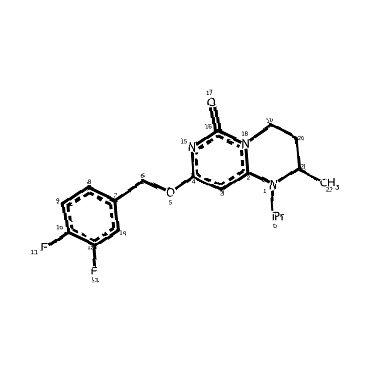 CC(C)N1c2cc(OCc3ccc(F)c(F)c3)nc(=O)n2CCC1C